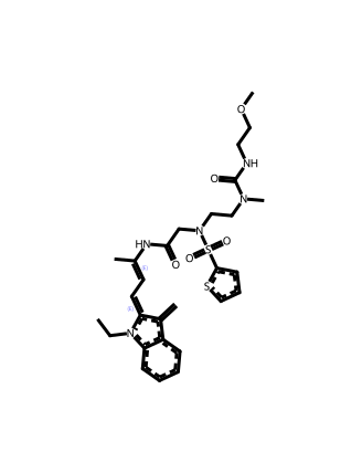 C=c1/c(=C\C=C(/C)NC(=O)CN(CCN(C)C(=O)NCCOC)S(=O)(=O)c2cccs2)n(CC)c2ccccc12